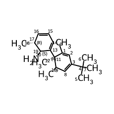 CC1=CC(C(C)(C)C)=CC(C)[C@@]1(C)C1=CC=C[C@@H](C)[C@@H]1N